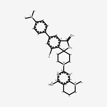 CN(C)c1ccc(-c2cc(F)c3c(c2)C(=O)OC32CCN(c3nc(O)c4c(n3)N(C)CCC4)CC2)cc1